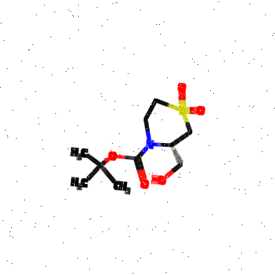 CC(C)(C)OC(=O)N1CCS(=O)(=O)C[C@@H]1CO